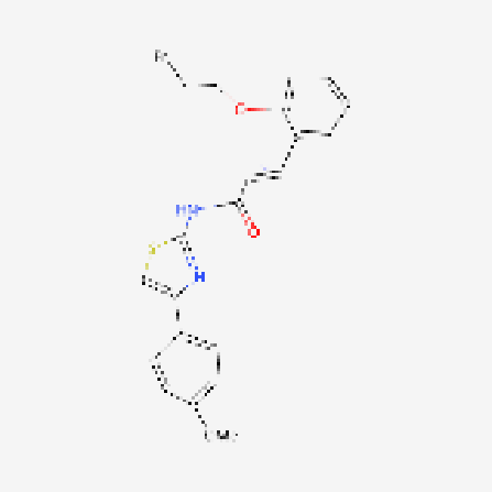 COc1ccc(-c2csc(NC(=O)/C=C/c3ccccc3OCCC(C)C)n2)cc1